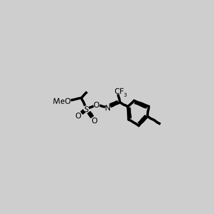 COC(C)S(=O)(=O)ON=C(c1ccc(C)cc1)C(F)(F)F